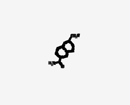 NC(=O)c1ccc2cc(C(=O)O)ccc2c1